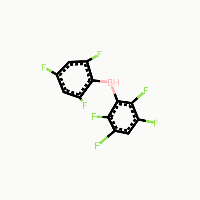 Fc1cc(F)c(Bc2c(F)c(F)cc(F)c2F)c(F)c1